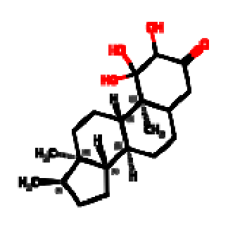 C[C@@H]1CC[C@H]2[C@@H]3CCC4CC(=O)C(O)C(O)(O)[C@]4(C)[C@H]3CC[C@]12C